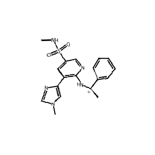 CNS(=O)(=O)c1cnc(N[C@H](C)c2ccccc2)c(-c2cn(C)cn2)c1